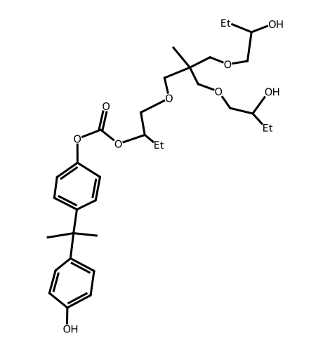 CCC(O)COCC(C)(COCC(O)CC)COCC(CC)OC(=O)Oc1ccc(C(C)(C)c2ccc(O)cc2)cc1